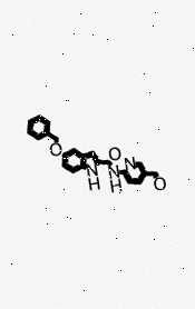 O=Cc1ccc(NC(=O)c2cc3cc(OCc4ccccc4)ccc3[nH]2)nc1